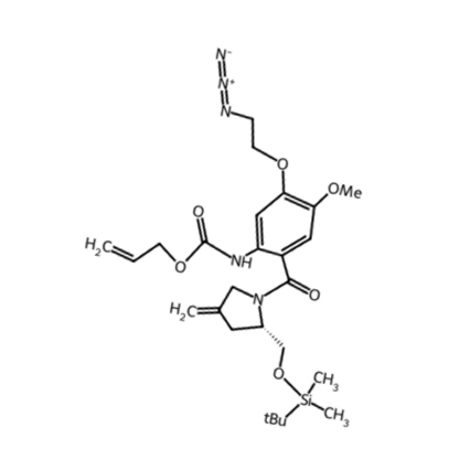 C=CCOC(=O)Nc1cc(OCCN=[N+]=[N-])c(OC)cc1C(=O)N1CC(=C)C[C@H]1CO[Si](C)(C)C(C)(C)C